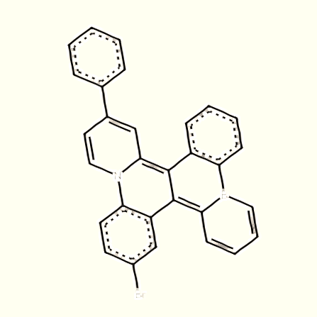 Brc1ccc2c(c1)C1=C3C=CC=CB3c3ccccc3C1=C1C=C(c3ccccc3)C=CN12